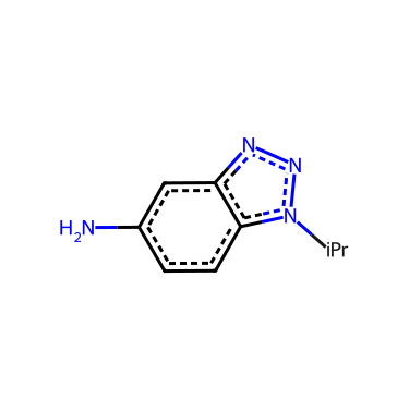 CC(C)n1nnc2cc(N)ccc21